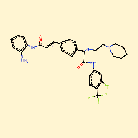 Nc1ccccc1NC(=O)/C=C/c1ccc(C(NCCN2CCCCC2)C(=O)Nc2ccc(C(F)(F)F)c(F)c2)cc1